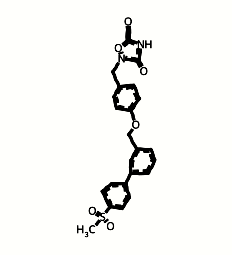 CS(=O)(=O)c1ccc(-c2cccc(COc3ccc(Cn4oc(=O)[nH]c4=O)cc3)c2)cc1